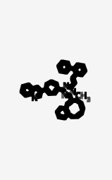 CC1/C=C\C=C/CC2=C(/C=C\1c1nc(/C=C/c3ccccc3-c3ccccc3)nc(C3=CC=C(c4cnc5ccccc5c4)CC=C3)n1)CCC=C2